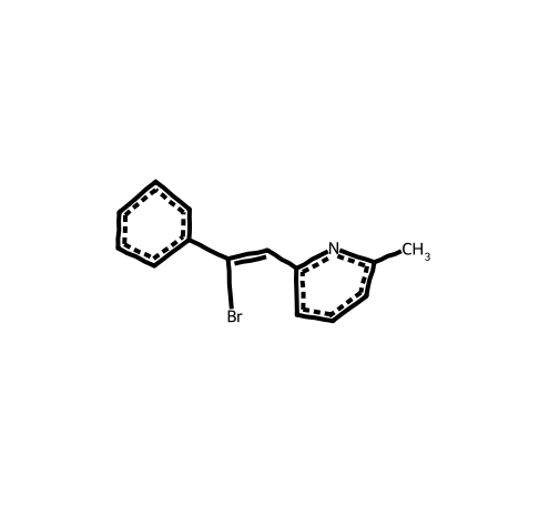 Cc1cccc(/C=C(\Br)c2ccccc2)n1